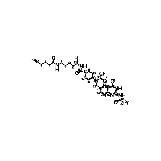 C#CCCCC(=O)NCCCC[C@@H](C)NC(=O)c1ccc(N(Cc2cnc3nc(NC(=O)C(C)C)[nH]c(=O)c3n2)C(=O)C(F)(F)F)cc1